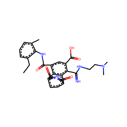 CCc1cccc(C)c1NC(=O)c1cc(C(=O)O)c(C(=N)NCCN(C)C)c2c3ccc(c(=O)[nH]c3=O)c12